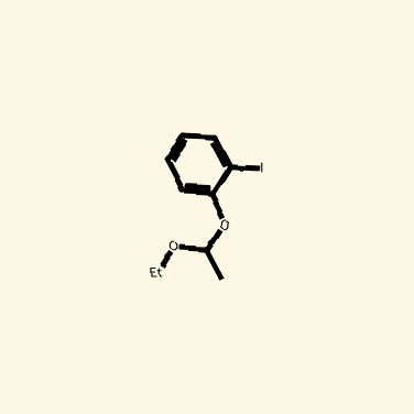 CCOC(C)Oc1ccccc1I